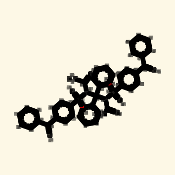 NC(=O)N(C(c1ccccc1)(c1ccccc1)N(C(N)=O)S(=O)(=O)c1ccc(C(=O)c2ccccc2)cc1)S(=O)(=O)c1ccc(C(=O)c2ccccc2)cc1